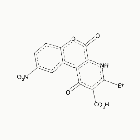 CCc1[nH]c2c(=O)oc3ccc([N+](=O)[O-])cc3c2c(=O)c1C(=O)O